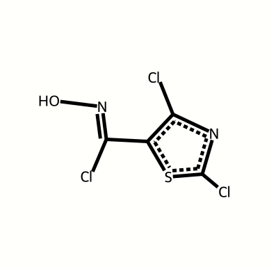 O/N=C(\Cl)c1sc(Cl)nc1Cl